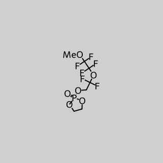 COC(F)(F)C(F)(F)OC(F)(F)COP1(=O)OCCO1